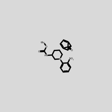 CC(C)(C)OC(=O)NC1CCCN(c2ccccc2[N+](=O)[O-])C1.O=C1C2=CC=C1C=C2